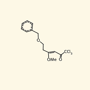 COC(=CC(=O)C(Cl)(Cl)Cl)CCOCc1ccccc1